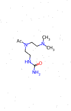 CC(=O)N(CCNC(N)=O)CCN(C)C